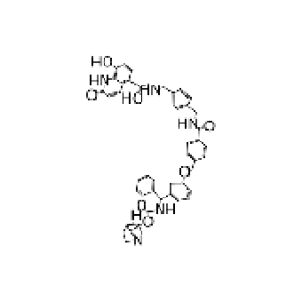 O=C(NC(c1ccccc1)c1cccc(OCc2ccc(C(=O)NCc3ccc(CNC[C@@H](O)c4ccc(O)c5[nH]c(=O)ccc45)cc3)cc2)c1)O[C@H]1CN2CCC1CC2